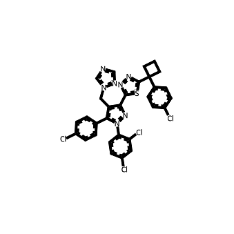 Clc1ccc(-c2c(Cn3cncn3)c(-c3nnc(C4(c5ccc(Cl)cc5)CCC4)s3)nn2-c2ccc(Cl)cc2Cl)cc1